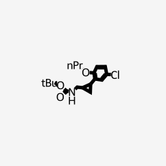 CCCOc1ccc(Cl)cc1C1CC1CNC(=O)OC(C)(C)C